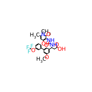 COc1cc(-c2cccc(OC(F)(F)F)c2)cc(C(CC(=O)O)NC(=O)Nc2c(O)cc(C)n(C)c2=O)c1